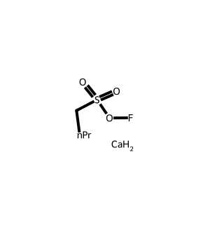 CCCCS(=O)(=O)OF.[CaH2]